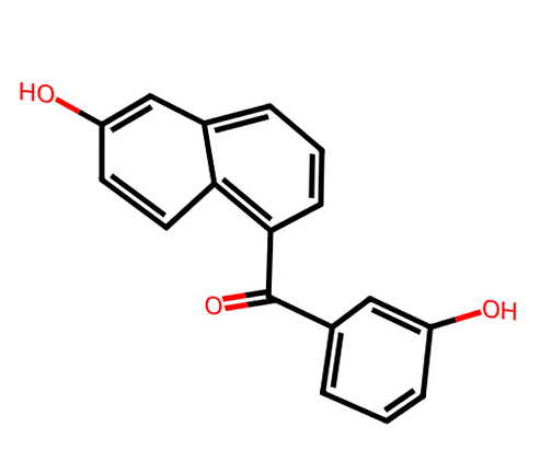 O=C(c1cccc(O)c1)c1cccc2cc(O)ccc12